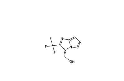 OC[SH]1C(C(F)(F)F)=Nc2cncn21